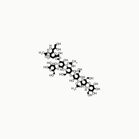 CC(=O)N[C@H]1[C@H](O[C@H]2[C@@H](O)[C@@H](CO)O[C@@H](O[C@H]3[C@H](O)[C@@H](NC(C)=O)[C@H](O[C@H]4[C@@H](O)[C@@H](CO[C@]5(C(=O)O)C[C@H](O)[C@@H](NC(C)=O)[C@H]([C@H](O)[C@H](O)CO)O5)O[C@@H](O[C@H]5[C@H](O)[C@@H](O)C(O)O[C@@H]5CO)[C@@H]4O)O[C@@H]3CO)[C@@H]2O)O[C@H](CO)[C@@H](O[C@@H]2O[C@H](CO)[C@H](O)[C@H](O)[C@H]2O)[C@@H]1O